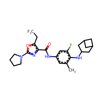 Cc1cc(NC(=O)c2nc(N3CCCC3)oc2CC(F)(F)F)cc(F)c1NC1CC2CC(C2)C1